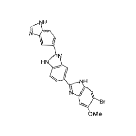 COc1cc2nc(-c3ccc4[nH]c(-c5ccc6[nH]cnc6c5)nc4c3)[nH]c2cc1Br